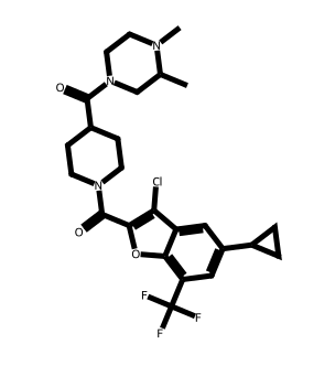 CC1CN(C(=O)C2CCN(C(=O)c3oc4c(C(F)(F)F)cc(C5CC5)cc4c3Cl)CC2)CCN1C